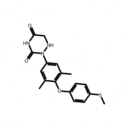 CSc1ccc(Oc2c(C)cc(N3NCC(=O)NC3=O)cc2C)cc1